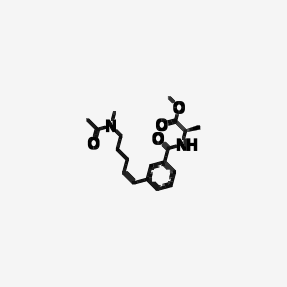 COC(=O)[C@@H](C)NC(=O)c1cccc(/C=C\CCCN(C)C(C)=O)c1